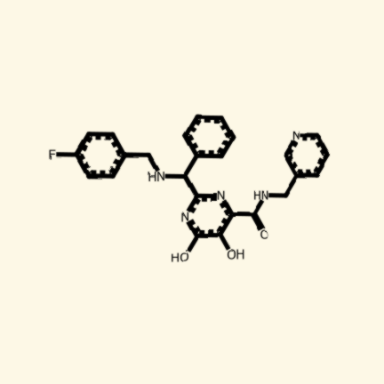 O=C(NCc1cccnc1)c1nc(C(NCc2ccc(F)cc2)c2ccccc2)nc(O)c1O